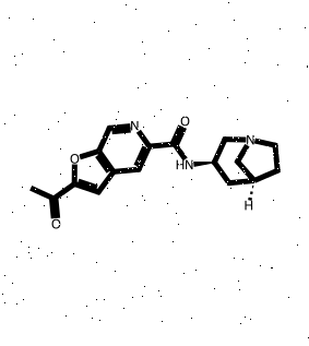 CC(=O)c1cc2cc(C(=O)N[C@@H]3C[C@@H]4CCN(C4)C3)ncc2o1